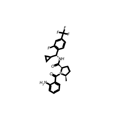 C[C@@H]1CC[C@H](C(=O)N[C@@H](c2ccc(C(F)(F)F)cc2F)C2CC2)N1C(=O)c1ccccc1N